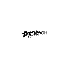 O=C1OC(Cn2cc(CCO)nn2)CN1c1ccc(I)c(F)c1